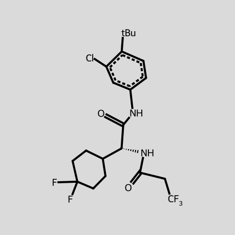 CC(C)(C)c1ccc(NC(=O)[C@H](NC(=O)CC(F)(F)F)C2CCC(F)(F)CC2)cc1Cl